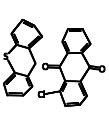 O=C1c2ccccc2C(=O)c2c(Cl)cccc21.c1ccc2c(c1)Cc1ccccc1S2